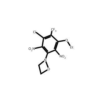 [CH2]COc1c([N+](=O)[O-])c(N2CCO2)c([N+](=O)[O-])c(Cl)c1C(F)(F)F